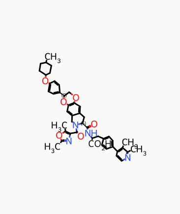 Cc1nc(C(=O)N2Cc3cc4c(cc3C[C@H]2C(=O)NC(Cc2ccc(-c3ccnc(C)c3C)cc2)C(=O)O)OC[C@H](c2ccc(OC3CCC(C)CC3)cc2)O4)c(C)o1